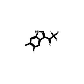 Cc1cc2[nH]cc(C(=O)C(F)(F)F)c2cc1F